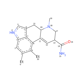 CCc1cc2[nH]cc3c2c(c1CC)C1=CC(C(N)=O)CN(C)C1C3